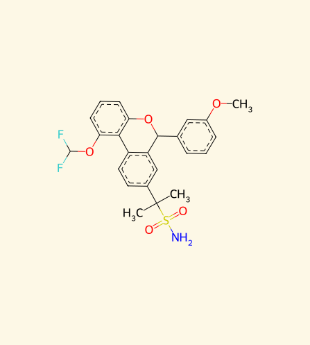 COc1cccc(C2Oc3cccc(OC(F)F)c3-c3ccc(C(C)(C)S(N)(=O)=O)cc32)c1